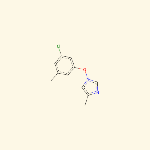 Cc1cc(Cl)cc(On2cnc(C)c2)c1